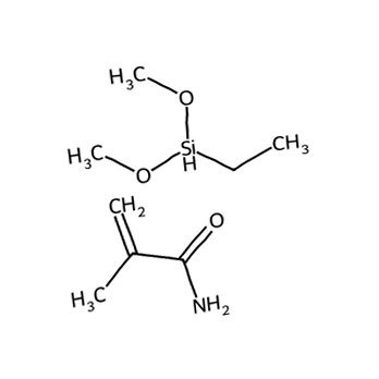 C=C(C)C(N)=O.CC[SiH](OC)OC